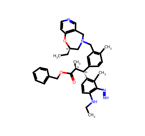 CCNc1ccc([C@@H](c2ccc(C)c(CN3Cc4cnccc4O[C@H](CC)C3)c2)[C@H](C)C(=O)OCc2ccccc2)c(C)c1N=N